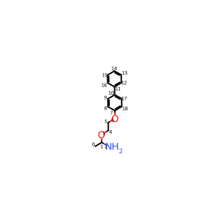 CC(N)OCCOc1ccc(-c2ccccc2)cc1